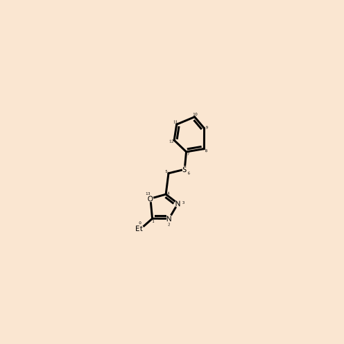 CCc1nnc(CSc2ccccc2)o1